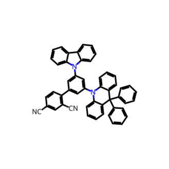 N#Cc1ccc(-c2cc(N3c4ccccc4C(c4ccccc4)(c4ccccc4)c4ccccc43)cc(-n3c4ccccc4c4ccccc43)c2)c(C#N)c1